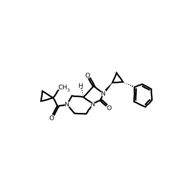 CC1(C(=O)N2CCN3C(=O)N([C@H]4C[C@@H]4c4ccccc4)C(=O)[C@@H]3C2)CC1